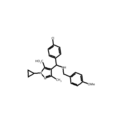 COc1ccc(CNC(c2ccc(Cl)cc2)c2c(C)nn(C3CC3)c2C(=O)O)cc1